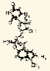 Cc1cc2c(F)c(O[P@@](N)(=O)OC[C@H]3O[C@@H](n4ccc(=O)[nH]c4=O)[C@](C)(F)[C@@H]3O)ccc2n1C